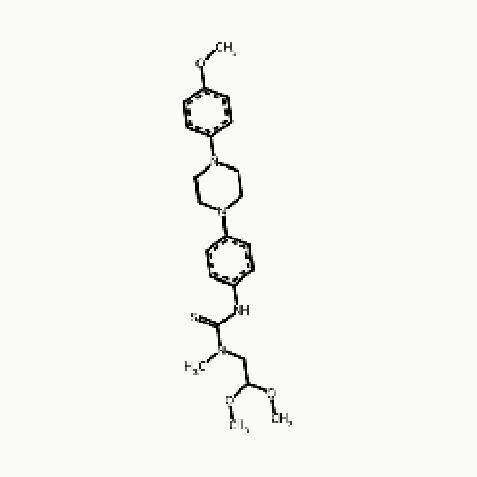 COc1ccc(N2CCN(c3ccc(NC(=S)N(C)CC(OC)OC)cc3)CC2)cc1